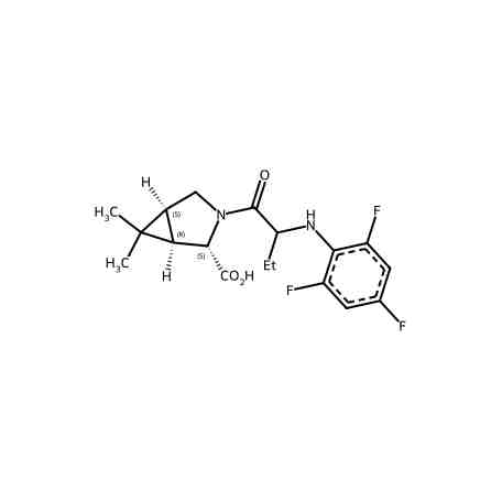 CCC(Nc1c(F)cc(F)cc1F)C(=O)N1C[C@H]2[C@@H]([C@H]1C(=O)O)C2(C)C